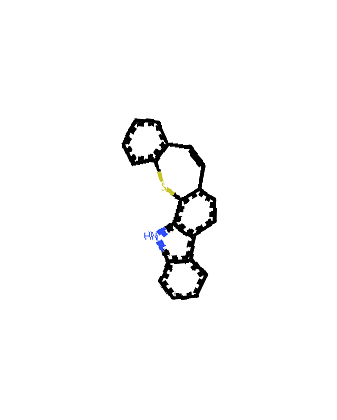 C1=Cc2ccc3c([nH]c4ccccc43)c2Sc2ccccc21